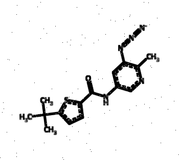 Cc1ncc(NC(=O)c2ccc(C(C)(C)C)s2)cc1N=[N+]=[N-]